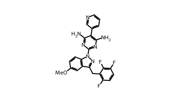 COc1ccc2c(c1)c(Cc1c(F)ccc(F)c1F)nn2-c1nc(N)c(-c2cccnc2)c(N)n1